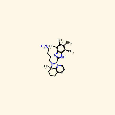 Bc1c(B)c(B)c2[nH]c(CN(CCCCN)[C@@]3(B)CCCc4cccnc43)nc2c1B